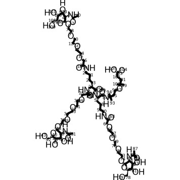 CC(=O)N[C@H]1[C@H](OCCOCCOCCOCC(=O)NCCCC[C@H](NC(=O)COCCOCCOCCO[C@@H]2O[C@H](CO)[C@H](O)[C@H](O)[C@H]2NC(C)=O)C(=O)N[C@@H](CCCCNC(=O)COCCOCCOCCO[C@@H]2O[C@H](CO)[C@H](O)[C@H](O)[C@H]2NC(C)=O)C(=O)NC(C)(C)CCOC(C)(C)CCC(=O)O)O[C@H](CO)[C@H](O)[C@@H]1O